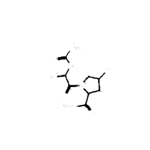 CNC(=O)C1CC(F)CN1C(=O)C(NC(=O)OC)C(C)C